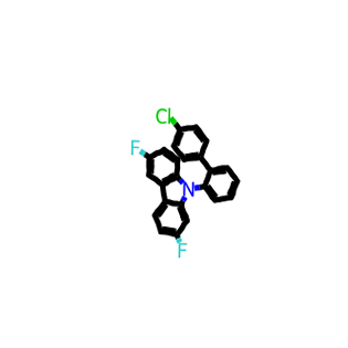 Fc1ccc2c(c1)c1ccc(F)cc1n2-c1ccccc1-c1ccc(Cl)cc1